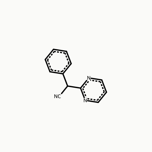 N#CC(c1ccccc1)c1ncccn1